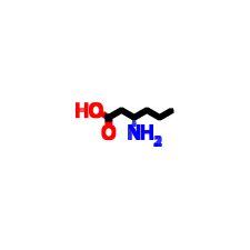 CCC[C@H](N)CC(=O)O